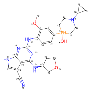 COc1cc([PH]2(O)CCN(C3CC3)CC2)ccc1Nc1nc(N[C@H]2CCOC2)c2c(C#N)c[nH]c2n1